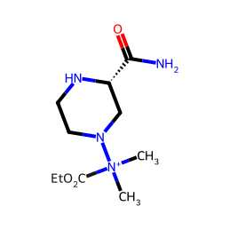 CCOC(=O)[N+](C)(C)N1CCN[C@H](C(N)=O)C1